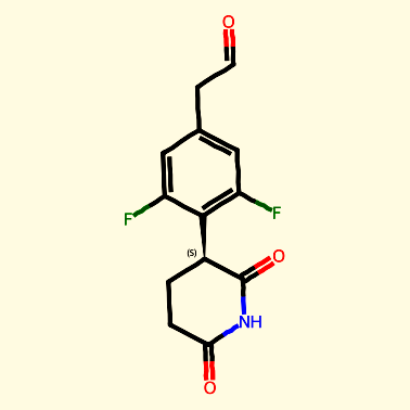 O=CCc1cc(F)c([C@@H]2CCC(=O)NC2=O)c(F)c1